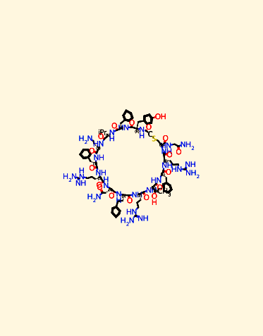 CC(C)[C@@H]1NC(=O)[C@H](Cc2ccccc2)NC(=O)[C@@H](Cc2ccc(O)cc2)NC(=O)CSC[C@@H](C(=O)NCC(N)=O)NC(=O)[C@H](CCCNC(=N)N)NC(=O)[C@H](Cc2ccccc2)NC(=O)[C@H]([C@@H](C)O)NC(=O)[C@H](CCCNC(=N)N)NC(=O)[C@H](CCc2ccccc2)NC(=O)[C@H](CC(N)=O)NC(=O)[C@H](CCCNC(=N)N)NC(=O)[C@H](Cc2ccccc2)NC(=O)[C@H](CCN)NC1=O